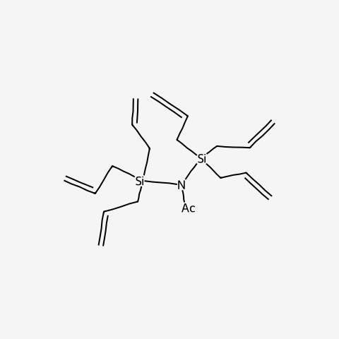 C=CC[Si](CC=C)(CC=C)N(C(C)=O)[Si](CC=C)(CC=C)CC=C